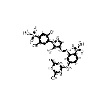 O=S(=O)(O)c1cc(Cl)c(-n2ncc(/N=N/c3cc(Nc4nc(Cl)nc(Cl)n4)ccc3S(=O)(=O)O)c2O)cc1Cl